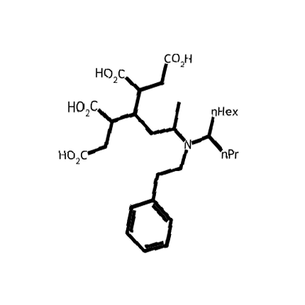 CCCCCCC(CCC)N(CCc1ccccc1)C(C)CC(C(CC(=O)O)C(=O)O)C(CC(=O)O)C(=O)O